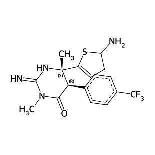 CN1C(=N)N[C@](C)(C2=CCC(N)S2)[C@@H](c2ccc(C(F)(F)F)cc2)C1=O